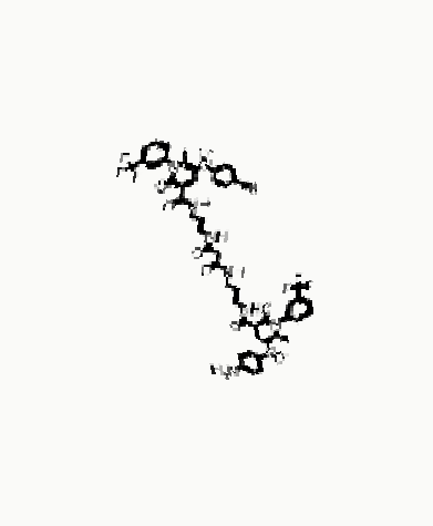 Cc1c([S+]([O-])c2ccc(N)cc2)cc(C(=O)NCCCNC(=O)CC(=O)NCCCNC(=O)c2cc([S+]([O-])c3ccc(C#N)cc3)c(C)n(-c3cccc(C(F)(F)F)c3)c2=O)c(=O)n1-c1cccc(C(F)(F)F)c1